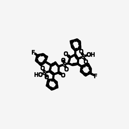 O=C1C(c2ccccc2)=C(S(=O)(=O)O)C(c2ccc(F)cc2)=CC1S(=O)(=O)C1C=C(c2ccc(F)cc2)C(S(=O)(=O)O)=C(c2ccccc2)C1=O